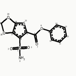 NS(=O)(=O)c1c(C(=O)Oc2ccccc2)sc2c1OCO2